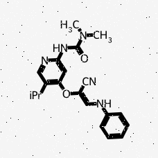 CC(C)c1cnc(NC(=O)N(C)C)cc1O/C(C#N)=C/Nc1ccccc1